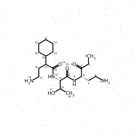 CCC(=O)[C@H](CCN)NC(=O)[C@@H](NC(=O)C(CCN)C1CCCCC1)C(C)O